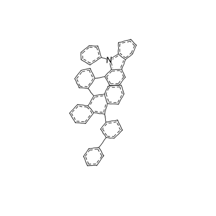 c1ccc(-c2cccc(-c3c4ccccc4c(-c4ccccc4-c4cccc5c6ccccc6n(-c6ccccc6)c45)c4ccccc34)c2)cc1